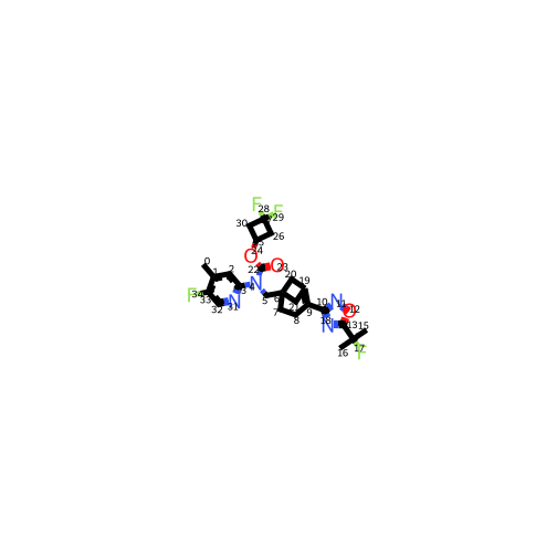 Cc1cc(N(CC23CCC(c4noc(C(C)(C)F)n4)=C(C2)C3)C(=O)OC2CC(F)(F)C2)ncc1F